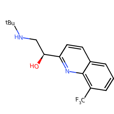 CC(C)(C)NC[C@H](O)c1ccc2cccc(C(F)(F)F)c2n1